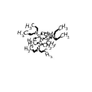 CCN(CC)[Si](C)(C)N([Si](C)(C)N(CC)CC)[Si](C)(C)N(CC)CC